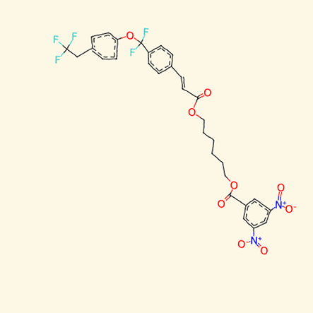 O=C(C=Cc1ccc(C(F)(F)Oc2ccc(CC(F)(F)F)cc2)cc1)OCCCCCCOC(=O)c1cc([N+](=O)[O-])cc([N+](=O)[O-])c1